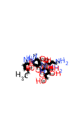 CC[C@H]1CCC(N)[C@@H](OC2C(O)[C@@H](O[C@H]3OC(CO)[C@@H](O)[C@H](N)C3O)[C@H](NC(=O)[C@@H](O)CCN)C(O)[C@@H]2N)O1